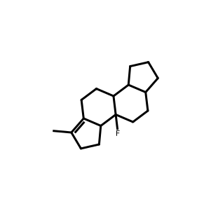 CC1=C2CCC3C4CCCC4CCC3(F)C2CC1